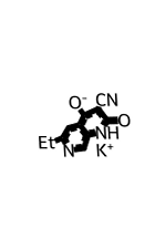 CCc1cc2c([O-])c(C#N)c(=O)[nH]c2cn1.[K+]